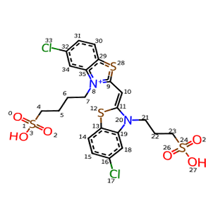 O=S(=O)(O)CCCC[n+]1c(C=C2Sc3ccc(Cl)cc3N2CCCS(=O)(=O)O)sc2ccc(Cl)cc21